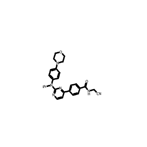 CC(C)N(c1ccc(N2CCOCC2)cc1)c1nccc(-c2ccc(C(=O)NCC#N)cc2)n1